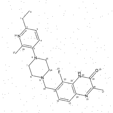 CCc1ccc(N2CCN(Cc3ccc4nc(C)c(=O)[nH]c4c3F)CC2)c(C)n1